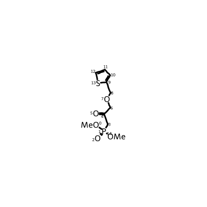 COP(=O)(CC(=O)COCc1cccs1)OC